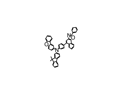 CC1(C)c2ccccc2-c2ccc(N(c3ccc(-c4cc5nc(-c6ccccc6)oc5c5ccccc45)cc3)c3ccc4oc5ccccc5c4c3)cc21